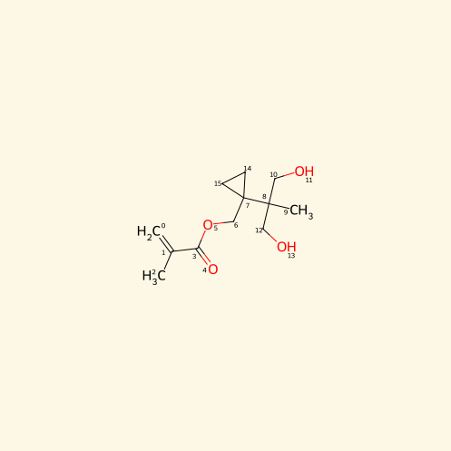 C=C(C)C(=O)OCC1(C(C)(CO)CO)CC1